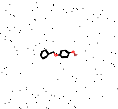 BrOc1ccc(OCc2ccccc2)cc1